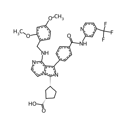 COc1ccc(CNc2nccn3c([C@@H]4CC[C@H](C(=O)O)C4)nc(-c4ccc(C(=O)Nc5cc(C(F)(F)F)ccn5)cc4)c23)c(OC)c1